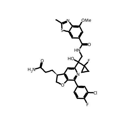 COc1cc(C(=O)NCC(O)(c2cc3c(c(-c4ccc(F)c(Cl)c4)n2)OC[C@H]3CCC(N)=O)C2(F)CC2)cc2sc(C)nc12